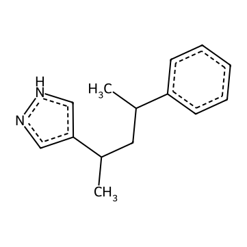 CC(CC(C)c1cn[nH]c1)c1ccccc1